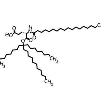 CCCCCCCCCCCCCCCCCC(=O)N[C@@H](CCC(=O)O)C(=O)OC(CCCCCCCC)(CCCCCCCC)CCCCCCCCCCC